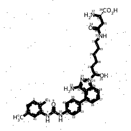 Cc1ccc(F)c(NC(=O)Nc2ccc(-c3cccc4c3c(N)nn4C(O)CCCCCNC(=O)C[C@H](N)C(=O)O)cc2)c1